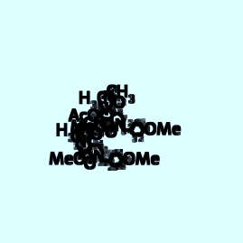 COc1ccc(CN2CCc3c(C(=O)N(C)C)nc(OC(C)=O)c(OC)c3C2=O)cc1.COc1ccc(CN2CCc3c(c(OC)c[n+]([O-])c3C(=O)N(C)C)C2=O)cc1